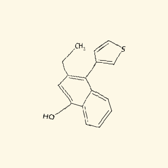 CCc1cc(O)c2ccccc2c1-c1ccsc1